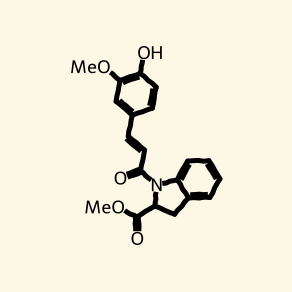 COC(=O)C1Cc2ccccc2N1C(=O)/C=C/c1ccc(O)c(OC)c1